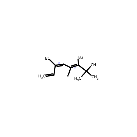 C=C/C(=C\C(F)=C(/C(C)CC)C(C)(C)C#N)CC